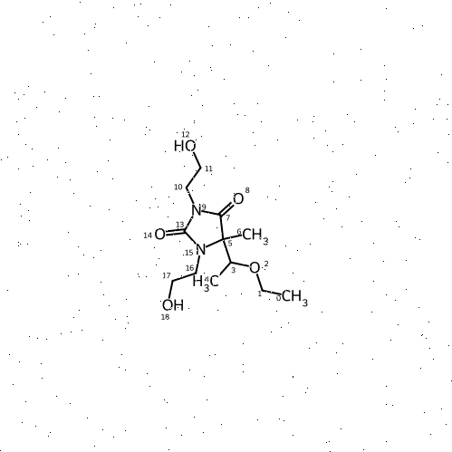 CCOC(C)C1(C)C(=O)N(CCO)C(=O)N1CCO